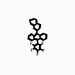 Fc1c(F)c(F)c(-c2c3ccccc3c(-c3ccc4ccccc4c3)c3ccccc23)c(F)c1F